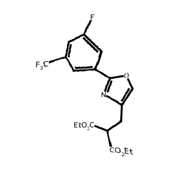 CCOC(=O)C(Cc1coc(-c2cc(F)cc(C(F)(F)F)c2)n1)C(=O)OCC